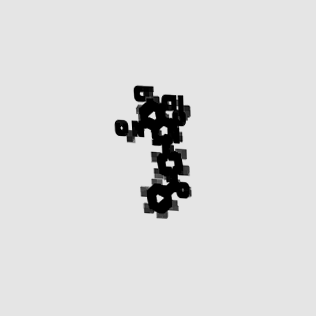 Cc1c(C(F)(F)F)cc([N+](=O)[O-])c2sc(N3CCN(C(=O)c4ccccc4)CC3)nc(=O)c12